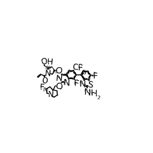 C=CC(=O)N1C[C@H](Oc2nc(OCC34CCCN3C[C@H](F)C4)nc3c(F)c(-c4ccc(F)c5sc(N)nc45)c(C(F)(F)F)cc23)C[C@@H]1CO